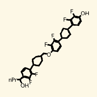 CCCC(O)c1ccc(C2CCC(COc3ccc(C4CCC(c5ccc(O)c(F)c5F)CC4)c(F)c3F)CC2)c(F)c1F